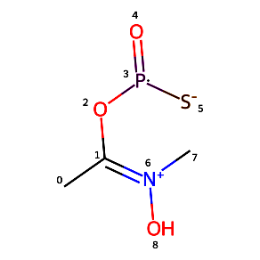 CC(O[P](=O)[S-])=[N+](C)O